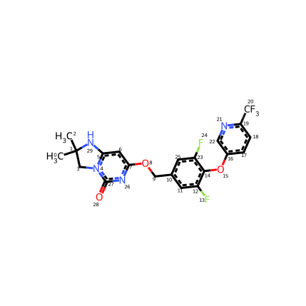 CC1(C)Cn2c(cc(OCc3cc(F)c(Oc4ccc(C(F)(F)F)nc4)c(F)c3)nc2=O)N1